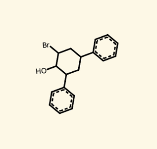 OC1C(Br)CC(c2ccccc2)CC1c1ccccc1